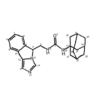 O=C(NCC1c2ccccc2-c2cncn21)NC12CC3CC(CC(C3)C1)C2